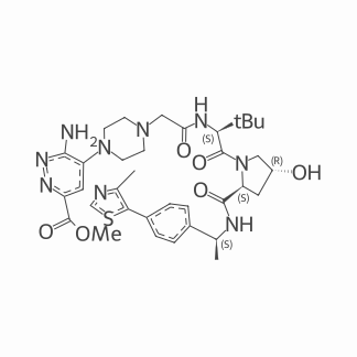 COC(=O)c1cc(N2CCN(CC(=O)N[C@H](C(=O)N3C[C@H](O)C[C@H]3C(=O)N[C@@H](C)c3ccc(-c4scnc4C)cc3)C(C)(C)C)CC2)c(N)nn1